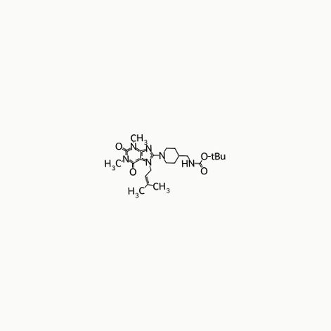 CC(C)=CCn1c(N2CCC(CNC(=O)OC(C)(C)C)CC2)nc2c1c(=O)n(C)c(=O)n2C